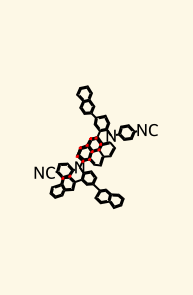 [C-]#[N+]c1ccc(N(C2=C3C=CC4=C5C(=CC=C(C=C2)C35)C(N(c2ccc(C#N)cc2)c2ccc(-c3ccc5ccccc5c3)cc2-c2ccc3ccccc3c2)C=C4)c2ccc(-c3ccc4ccccc4c3)cc2-c2ccc3ccccc3c2)cc1